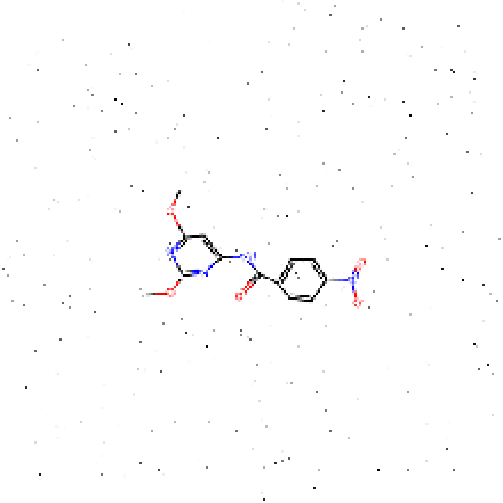 COc1cc(NC(=O)c2ccc([N+](=O)[O-])cc2)nc(OC)n1